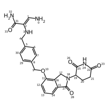 N/C=C(\NCc1ccc(COc2cccc3c2CN(C2CCC(=O)NC2=O)C3=O)cc1)C(N)=O